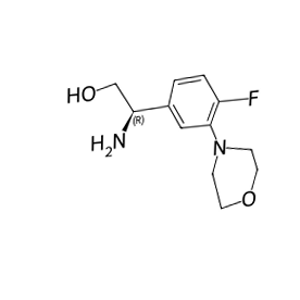 N[C@@H](CO)c1ccc(F)c(N2CCOCC2)c1